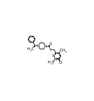 C=C(c1ccccc1)N1CCN(C(=S)SCc2nn(C)c(=O)cc2C)CC1